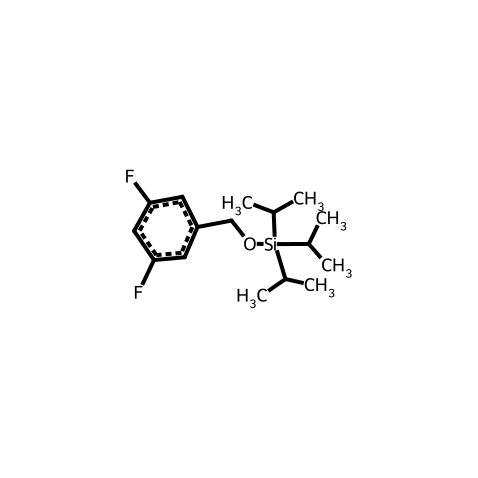 CC(C)[Si](OCc1cc(F)cc(F)c1)(C(C)C)C(C)C